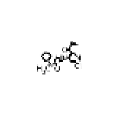 CN(C(=O)OCNc1cc(Cl)ncc1C(=O)C1CC1)C1CCCCC1